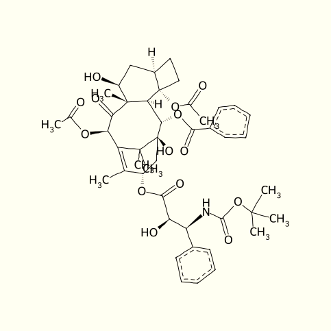 CC(=O)O[C@H]1C(=O)[C@@]2(C)[C@H]([C@H](OC(=O)c3ccccc3)[C@]3(O)C[C@H](OC(=O)[C@H](O)[C@@H](NC(=O)OC(C)(C)C)c4ccccc4)C(C)=C1C3(C)C)[C@]1(OC(C)=O)CC[C@@H]1C[C@@H]2O